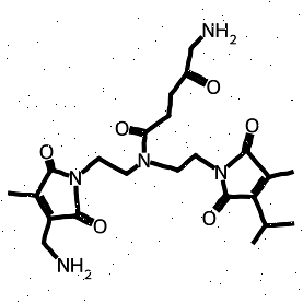 CC1=C(CN)C(=O)N(CCN(CCN2C(=O)C(C)=C(C(C)C)C2=O)C(=O)CCC(=O)CN)C1=O